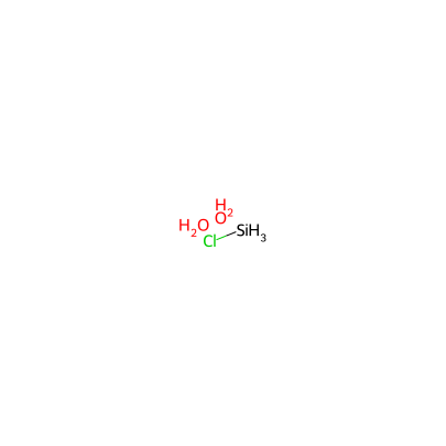 O.O.[SiH3]Cl